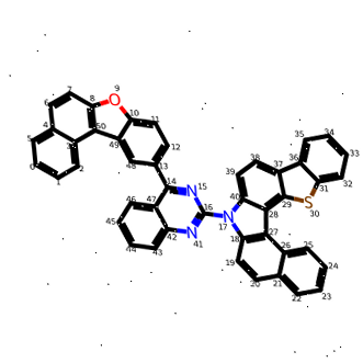 c1ccc2c(c1)ccc1oc3ccc(-c4nc(-n5c6ccc7ccccc7c6c6c7sc8ccccc8c7ccc65)nc5ccccc45)cc3c12